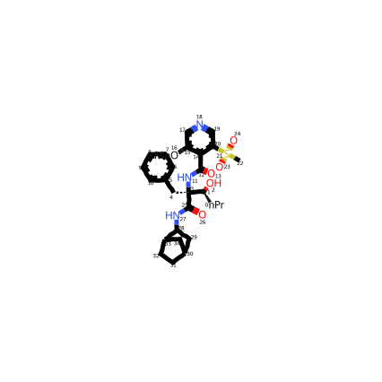 CCC[C@H](O)[C@](Cc1ccccc1)(NC(=O)c1c(OC)cncc1S(C)(=O)=O)C(=O)NC1CC2CCC1C2